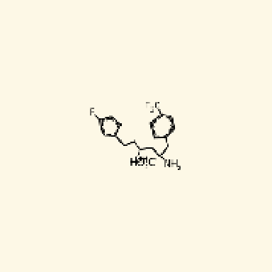 N[C@](Cc1ccc(C(F)(F)F)cc1)(C[C@@H](O)CCc1ccc(F)cc1)C(=O)O